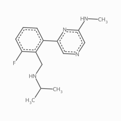 CNc1cncc(-c2cccc(F)c2CNC(C)C)n1